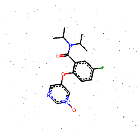 CC(C)N(C(=O)c1cc(F)ccc1Oc1cnc[n+]([O-])c1)C(C)C